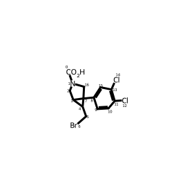 O=C(O)N1CC2C(CBr)C2(c2ccc(Cl)c(Cl)c2)C1